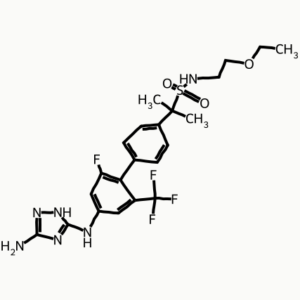 CCOCCNS(=O)(=O)C(C)(C)c1ccc(-c2c(F)cc(Nc3nc(N)n[nH]3)cc2C(F)(F)F)cc1